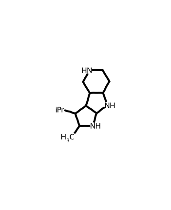 CC(C)C1C(C)NC2NC3CCNCC3C21